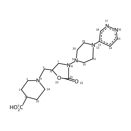 O=C(O)C1CCN(CC2CN(N3CCN(c4ccnnc4)CC3)C(=O)O2)CC1